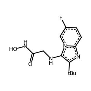 CC(C)(C)c1nc2ccc(F)cn2c1NCC(=O)NO